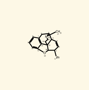 CC(C)C1C=CC2C3Cc4cccc5c4C2(CCN3C)C1O5